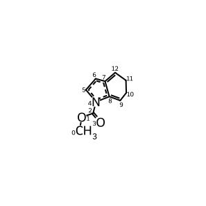 COC(=O)n1ccc2c1=CCCC=2